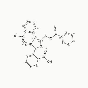 O=C(OC[C@@H]1OC(C2=CC=CCC2C(=O)O)C(=O)[C@@H]1c1ccccc1C(=O)O)c1ccccc1